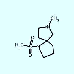 CN1CCC2(CCCN2S(C)(=O)=O)C1